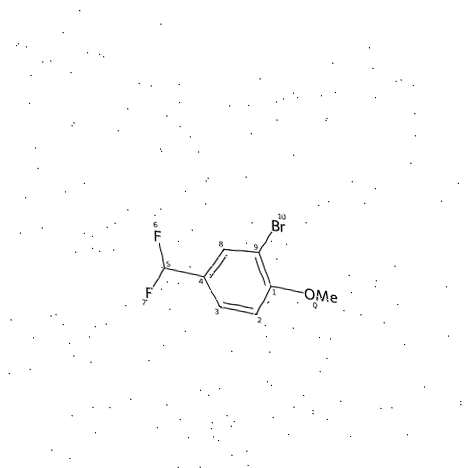 COc1ccc(C(F)F)cc1Br